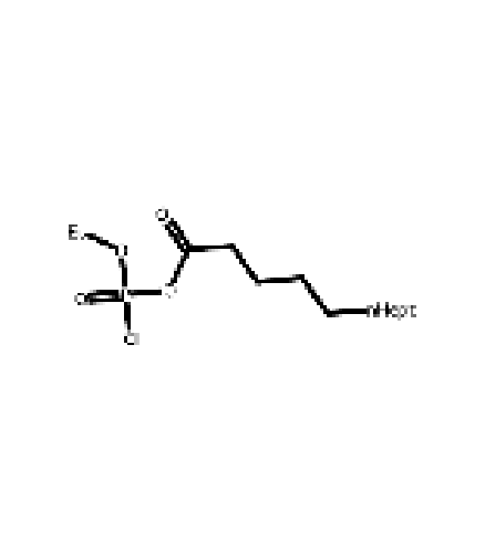 CCCCCCCCCCCC(=O)OP(=O)(Cl)OCC